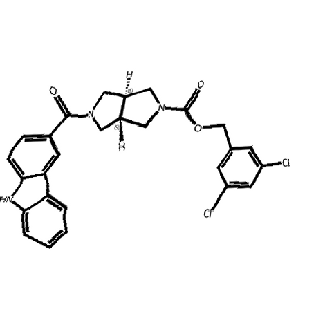 O=C(OCc1cc(Cl)cc(Cl)c1)N1C[C@@H]2CN(C(=O)c3ccc4[nH]c5ccccc5c4c3)C[C@H]2C1